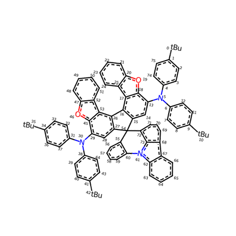 CC(C)(C)c1ccc(N(c2ccc(C(C)(C)C)cc2)c2cc3c(c4c2oc2ccccc24)-c2c(cc(N(c4ccc(C(C)(C)C)cc4)c4ccc(C(C)(C)C)cc4)c4oc5ccccc5c24)C32c3ccccc3-n3c4ccccc4c4cccc2c43)cc1